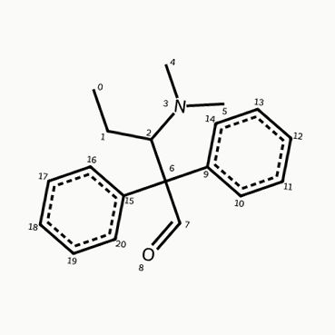 CCC(N(C)C)C(C=O)(c1ccccc1)c1ccccc1